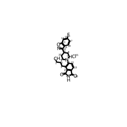 CCCCc1c(N2CCC(c3noc4cc(F)ccc34)CC2)ccc2c1C(=O)NC2=O.Cl